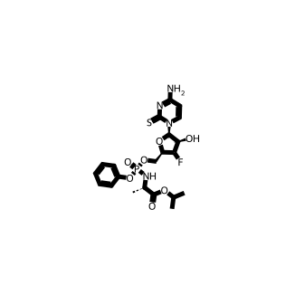 CC(C)OC(=O)[C@H](C)NP(=O)(OC[C@H]1O[C@@H](n2ccc(N)nc2=S)[C@@H](O)C1F)Oc1ccccc1